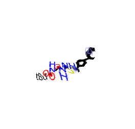 C=C(/C=C\C)c1ccc(/C(C)=C/SC(=N)NC(=O)CNC(=O)OC(C)(C)C)cc1